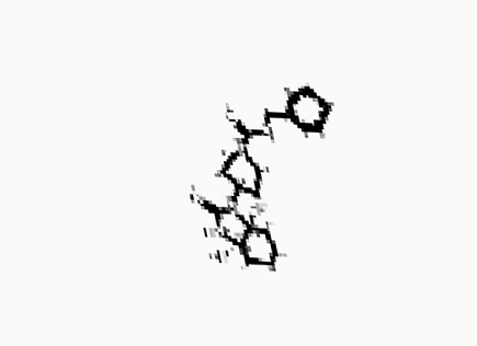 O=C(OCc1ccccc1)N1CCC(N2C(=O)N[C@@H]3CCCC[C@H]32)CC1